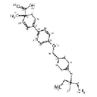 CCC(F)(CC)CN1CCC(COc2ccc(C3=CCC(C)(C(=O)O)C=C3)nc2)CC1